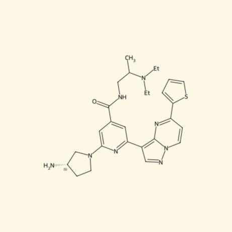 CCN(CC)C(C)CNC(=O)c1cc(-c2cnn3ccc(-c4cccs4)nc23)nc(N2CC[C@H](N)C2)c1